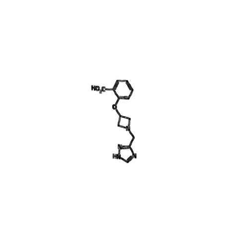 O=C(O)c1ccccc1OC1CN(Cc2nc[nH]n2)C1